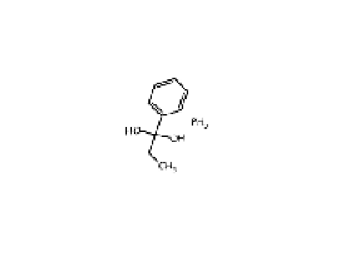 CCC(O)(O)c1ccccc1.P